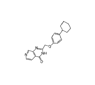 O=c1[nH]c(COc2ccc(C3CCCCC3)cc2)nc2cnccc12